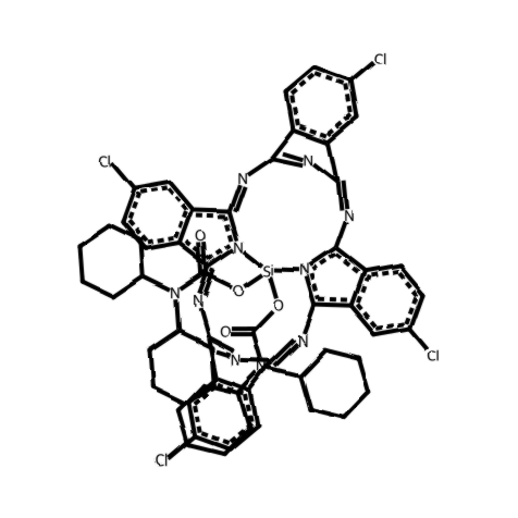 O=C(O[Si]1(OC(=O)N(C2CCCCC2)C2CCCCC2)n2c3c4cc(Cl)ccc4c2/N=C2N=C(/N=c4/c5cc(Cl)ccc5/c(n41)=N/C1=NC(=N\3)/c3ccc(Cl)cc31)c1ccc(Cl)cc1\2)N(C1CCCCC1)C1CCCCC1